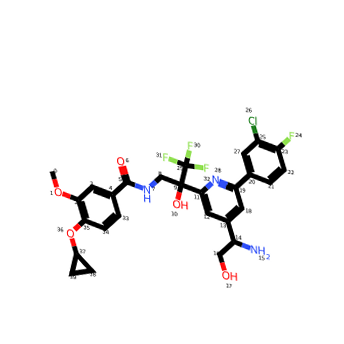 COc1cc(C(=O)NCC(O)(c2cc(C(N)CO)cc(-c3ccc(F)c(Cl)c3)n2)C(F)(F)F)ccc1OC1CC1